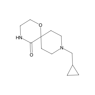 O=C1NCCOC12CCN(CC1CC1)CC2